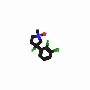 C[N+]1([O-])CCC(F)(c2cccc(Cl)c2F)C1